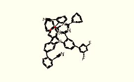 N#Cc1ccccc1-c1ccc2c3ccc(-c4ccccc4C#N)cc3n(-c3ccc(-c4cc(F)cc(F)c4)cc3-c3nc(-c4ccccc4)nc(-c4ccccc4)n3)c2c1